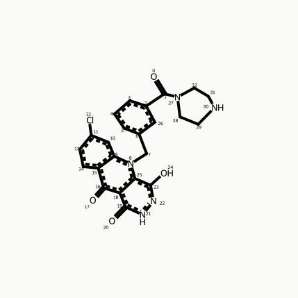 O=C(c1cccc(Cn2c3cc(Cl)ccc3c(=O)c3c(=O)[nH]nc(O)c32)c1)N1CCNCC1